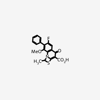 COc1c(-c2ccccc2)c(F)cc2c(=O)c(C(=O)O)c3n(c12)C(C)S3